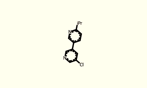 CC(C)c1ccc(-c2cncc(Cl)c2)cn1